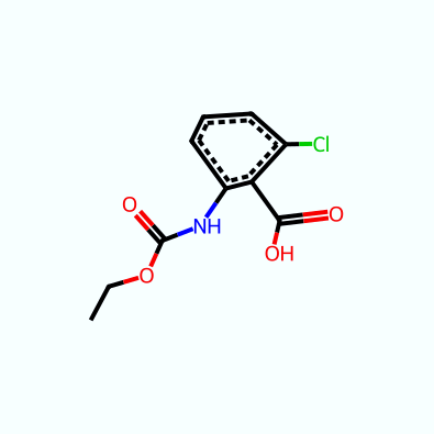 CCOC(=O)Nc1cccc(Cl)c1C(=O)O